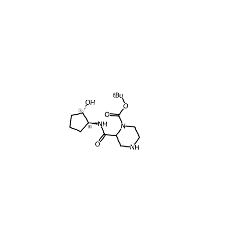 CC(C)(C)OC(=O)N1CCNCC1C(=O)N[C@H]1CCC[C@@H]1O